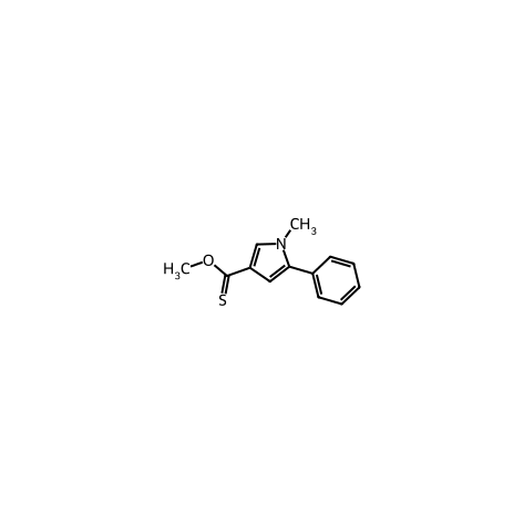 COC(=S)c1cc(-c2ccccc2)n(C)c1